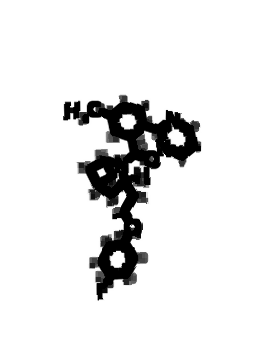 Cc1ccc(-c2ncccn2)c(C(=O)N2C3CC(C3)C[C@H]2CCOc2ccc(F)cc2)c1